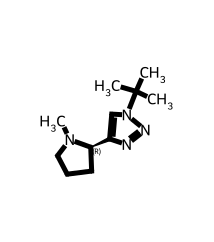 CN1CCC[C@@H]1c1cn(C(C)(C)C)nn1